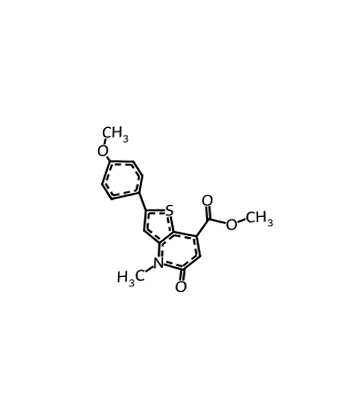 COC(=O)c1cc(=O)n(C)c2cc(-c3ccc(OC)cc3)sc12